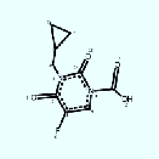 O=C(O)n1cc(F)c(=O)n(CC2CC2)c1=O